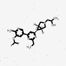 CCc1nc(-c2cnc(N)c(OC(F)F)c2)cc([C@H]2[C@@H]3CN(CC(C)O)C[C@@H]32)n1